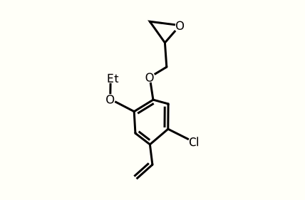 C=Cc1cc(OCC)c(OCC2CO2)cc1Cl